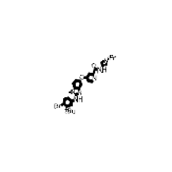 CC(C)N1CC(NC(=O)c2cc(Oc3ccc4c(c3)nc(Nc3ccc(Br)c(C(C)(C)C)c3)n4C)ccn2)C1